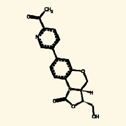 CC(=O)c1ccc(-c2ccc3c(c2)OC[C@H]2[C@H](CO)OC(=O)N32)cn1